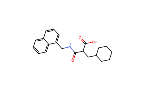 O=C(O)C(CC1CCCCC1)C(=O)NCc1cccc2ccccc12